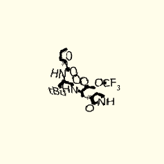 CC(C)(C)CC(NC(=O)[C@H]1CCCO1)C(=O)NC(C[C@@H]1CCNC1=O)C(=O)COC(F)(F)F